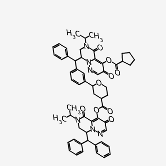 CC(C)N1CC(C(c2ccccc2)c2cccc(C3CC(C(=O)Oc4c5n(ncc4=O)C(C(c4ccccc4)c4ccccc4)CN(C(C)C)C5=O)CCO3)c2)n2ncc(=O)c(OC(=O)C3CCCC3)c2C1=O